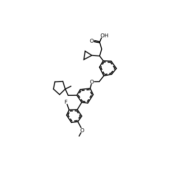 COc1ccc(F)c(-c2ccc(OCc3cccc(C(CC(=O)O)C4CC4)c3)cc2CC2(C)CCCC2)c1